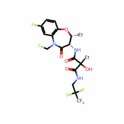 CC[C@H]1Oc2ccc(F)cc2N(CF)C(=O)[C@H]1NC(=O)C(O)(CC)C(=O)NCC(F)(F)C(F)(F)F